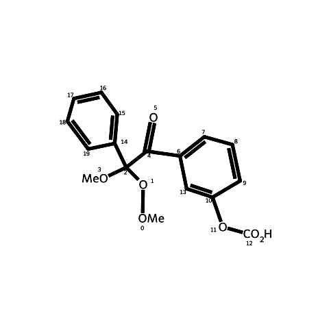 COOC(OC)(C(=O)c1cccc(OC(=O)O)c1)c1ccccc1